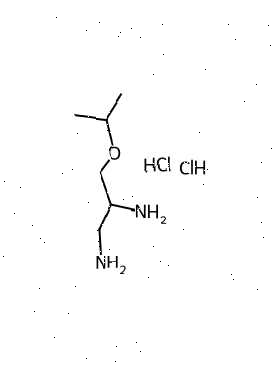 CC(C)OCC(N)CN.Cl.Cl